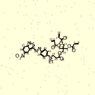 C=CC(=O)OCC(COC(=O)C=C)(COC(=O)C=C)COC(=O)CCN(CC)c1ccc(N=Nc2snc3ccc([N+](=O)[O-])cc23)cc1